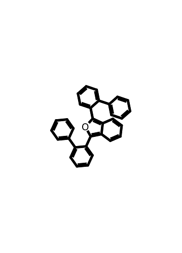 c1ccc(-c2ccccc2-c2oc(-c3ccccc3-c3ccccc3)c3ccccc23)cc1